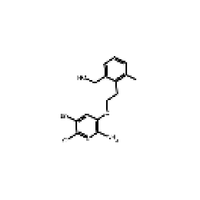 Nc1nc(Cl)c(Br)cc1OCCc1c(F)cccc1CO